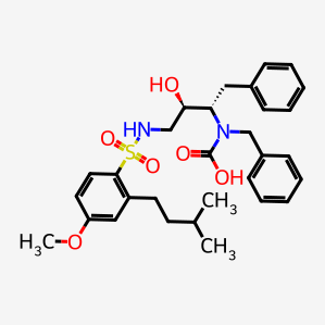 COc1ccc(S(=O)(=O)NC[C@@H](O)[C@H](Cc2ccccc2)N(Cc2ccccc2)C(=O)O)c(CCC(C)C)c1